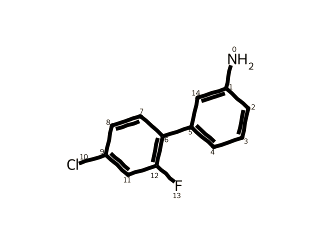 Nc1cccc(-c2ccc(Cl)cc2F)c1